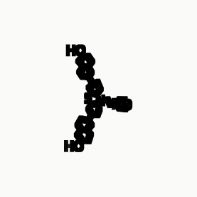 Oc1ccc2cc(-c3ccc4c(c3)Sc3cc(-c5ccc6cc(O)ccc6c5)ccc3N4CCN3CCOCC3)ccc2c1